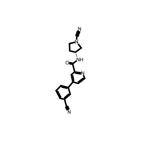 N#Cc1cccc(-c2ccnc(C(=O)N[C@@H]3CCN(C#N)C3)c2)c1